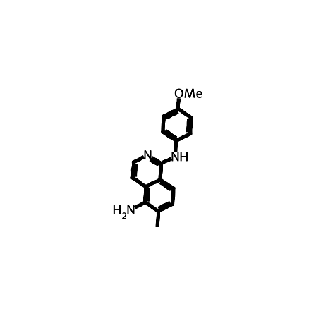 COc1ccc(Nc2nccc3c(N)c(C)ccc23)cc1